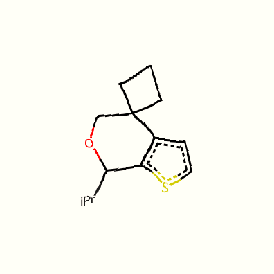 CC(C)C1OCC2(CCC2)c2ccsc21